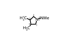 CNN1CC(C)C(C)C1